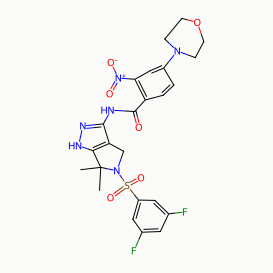 CC1(C)c2[nH]nc(NC(=O)c3ccc(N4CCOCC4)cc3[N+](=O)[O-])c2CN1S(=O)(=O)c1cc(F)cc(F)c1